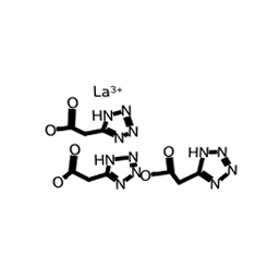 O=C([O-])Cc1nnn[nH]1.O=C([O-])Cc1nnn[nH]1.O=C([O-])Cc1nnn[nH]1.[La+3]